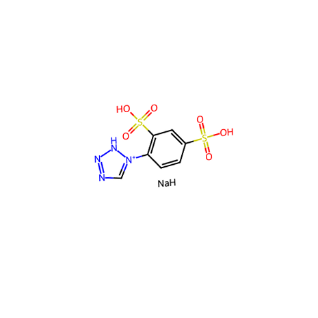 O=S(=O)(O)c1ccc(-[n+]2cnn[nH]2)c(S(=O)(=O)O)c1.[NaH]